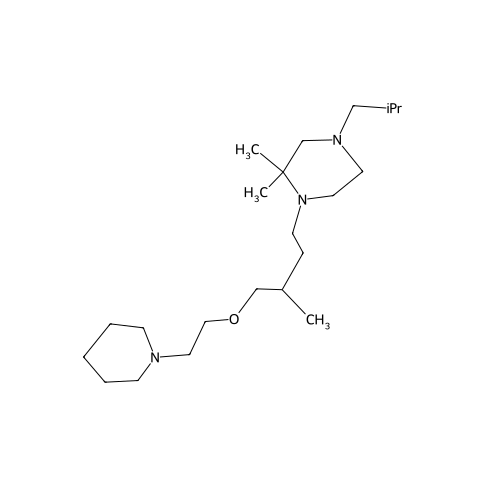 CC(C)CN1CCN(CCC(C)COCCN2CCCCC2)C(C)(C)C1